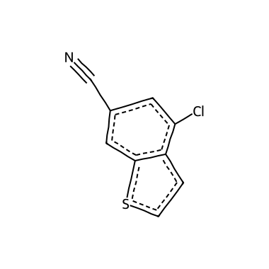 N#Cc1cc(Cl)c2ccsc2c1